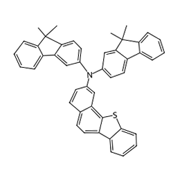 CC1(C)c2ccccc2-c2cc(N(c3ccc4c(c3)C(C)(C)c3ccccc3-4)c3ccc4ccc5c6ccccc6sc5c4c3)ccc21